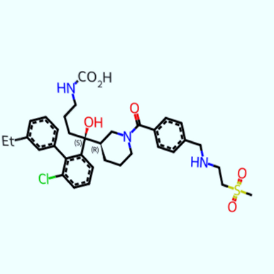 CCc1cccc(-c2c(Cl)cccc2[C@](O)(CCCNC(=O)O)[C@@H]2CCCN(C(=O)c3ccc(CNCCS(C)(=O)=O)cc3)C2)c1